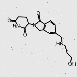 O=C1CCC(N2Cc3cc(CNCCCO)ccc3C2=O)C(=O)N1